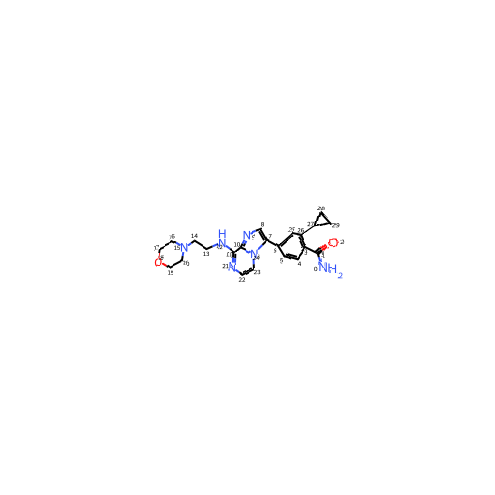 NC(=O)c1ccc(-c2cnc3c(NCCN4CCOCC4)nccn23)cc1C1CC1